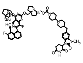 C#Cc1c(F)ccc2cccc(-c3ncc4c(N5CC6CCC(C(C)(C)C)(C5)N6C(=O)O)nc(OC[C@@]56CCCN5[C@H](COC(=O)N5CCC(N7CCC(Cc8ccc9c(c8)n(C)c(=O)n9C8CCC(=O)NC8=O)CC7)CC5)CC6)nc4c3F)c12